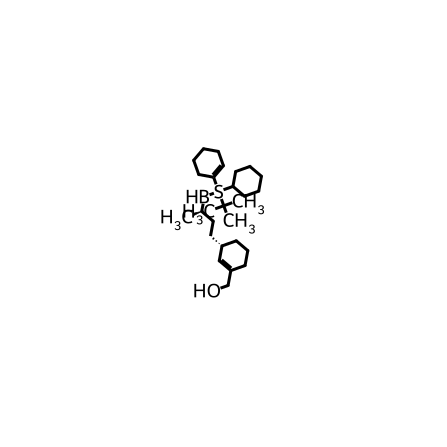 C[C@@H](BS(C1=CCCCC1)(C1CCCCC1)C(C)(C)C)CC[C@H]1C=C(CO)CCC1